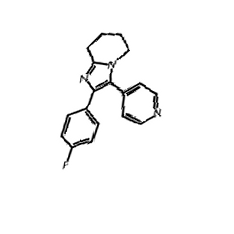 Fc1ccc(-c2nc3n(c2-c2ccncc2)CCCC3)cc1